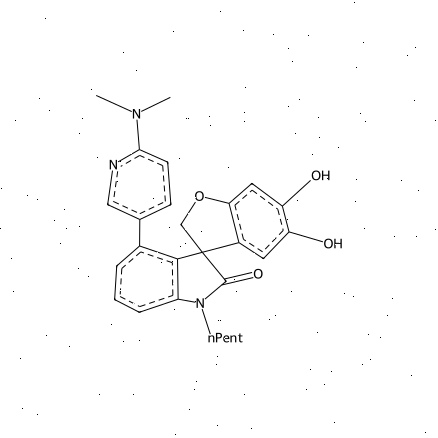 CCCCCN1C(=O)C2(COc3cc(O)c(O)cc32)c2c(-c3ccc(N(C)C)nc3)cccc21